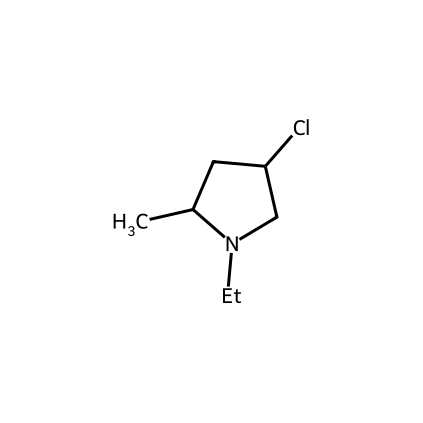 CCN1CC(Cl)CC1C